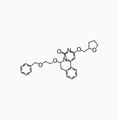 O=c1nc(OCC2CCCO2)cc2n1C(OCCOCc1ccccc1)Cc1ccccc1-2